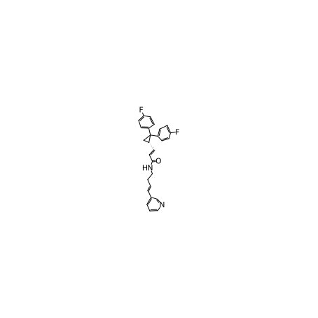 O=C(/C=C/[C@@H]1CC1(c1ccc(F)cc1)c1ccc(F)cc1)NCC/C=C/c1cccnc1